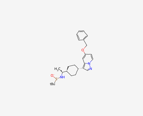 C[C@H](N[S+]([O-])C(C)(C)C)[C@H]1CC[C@H](c2cnn3ccc(OCc4ccccc4)cc23)CC1